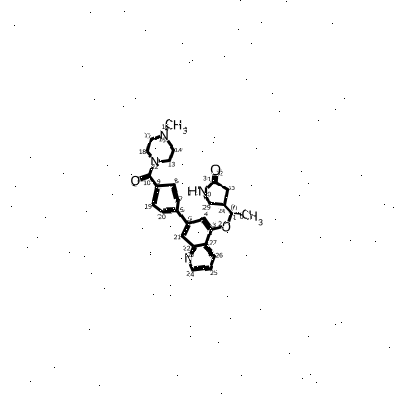 C[C@@H](Oc1cc(-c2ccc(C(=O)N3CCN(C)CC3)cc2)cc2ncccc12)C1CNC(=O)C1